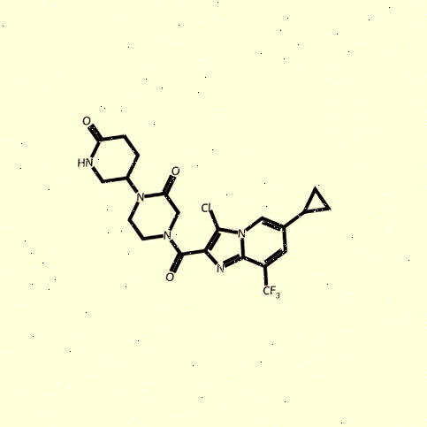 O=C1CCC(N2CCN(C(=O)c3nc4c(C(F)(F)F)cc(C5CC5)cn4c3Cl)CC2=O)CN1